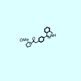 CO[C@H]1CCCN1C(=O)Cc1ccc(C2=NNCc3ccccc32)cc1